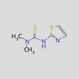 CN(C)C(=S)Nc1nccs1